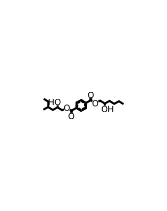 CCCCC(O)COC(=O)c1ccc(C(=O)OCC(O)CC(C)CC)cc1